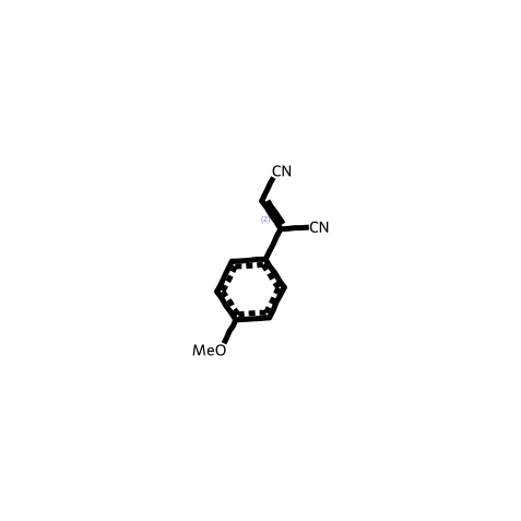 COc1ccc(/C(C#N)=C/C#N)cc1